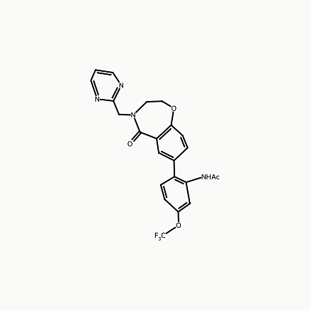 CC(=O)Nc1cc(OC(F)(F)F)ccc1-c1ccc2c(c1)C(=O)N(Cc1ncccn1)CCO2